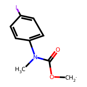 [CH2]OC(=O)N(C)c1ccc(I)cc1